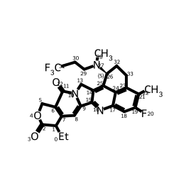 CCC1C(=O)OCc2c1cc1n(c2=O)Cc2c-1nc1cc(F)c(C)c3c1c2[C@@H](N(C)CCC(F)(F)F)CC3